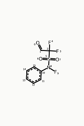 O=CC(F)(F)S(=O)(=O)N(F)c1ccccc1